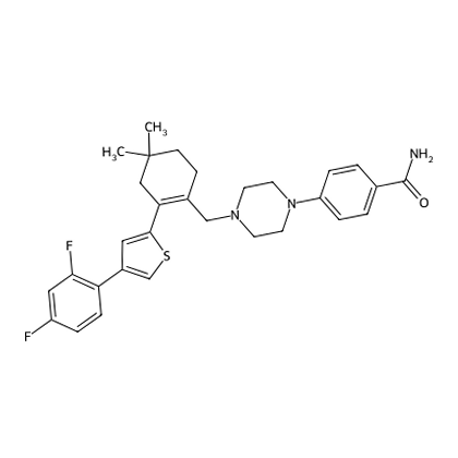 CC1(C)CCC(CN2CCN(c3ccc(C(N)=O)cc3)CC2)=C(c2cc(-c3ccc(F)cc3F)cs2)C1